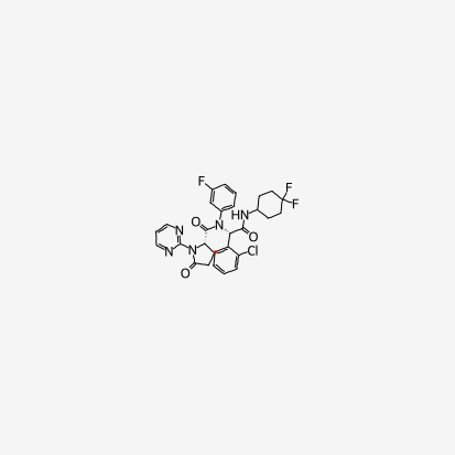 O=C(NC1CCC(F)(F)CC1)[C@H](c1ccccc1Cl)N(C(=O)[C@@H]1CCC(=O)N1c1ncccn1)c1cccc(F)c1